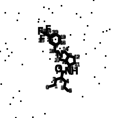 CCCC(CCC)C(=O)NC1CCC2CN(Cc3cccc(C(F)(F)F)c3)CC21